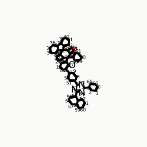 c1ccc(-c2nc(-c3ccc(-c4cccc5c4Oc4ccccc4C54c5ccccc5C5(c6ccccc6-c6ccccc65)c5ccccc54)cc3)nc(-c3cccc4ccccc34)n2)cc1